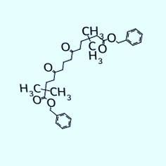 CC(C)(CCC(=O)CCCC(=O)CCC(C)(C)C(=O)OCc1ccccc1)CC(=O)OCc1ccccc1